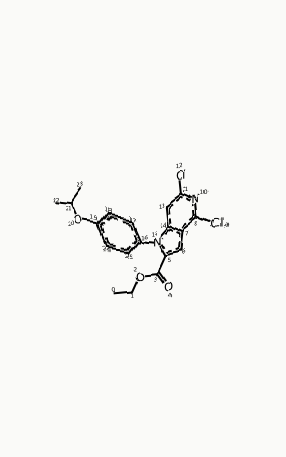 CCOC(=O)c1cc2c(Cl)nc(Cl)cc2n1-c1ccc(OC(C)C)cc1